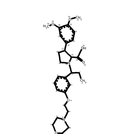 CCC(c1cccc(OCCN2CCOCC2)c1)N1CCC(c2ccc(OC)c(OC)c2)C1C(=O)O